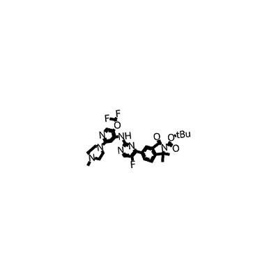 CN1CCN(c2cc(Nc3ncc(F)c(-c4ccc5c(c4)C(=O)N(C(=O)OC(C)(C)C)C5(C)C)n3)c(OC(F)F)cn2)CC1